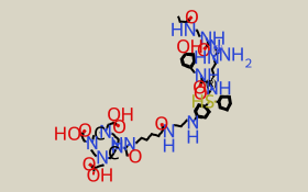 CCC(=O)NCCNC(=O)/N=C(/N)NCCC[C@@H](NC(=O)[SH](c1ccccc1)c1ccc(NCCCNC(=O)CCCCCNC(C=O)N2CCN(CC(=O)O)CCN(CC(=O)O)CCN(CC(=O)O)CC2)cc1)C(=O)NCc1ccc(O)cc1